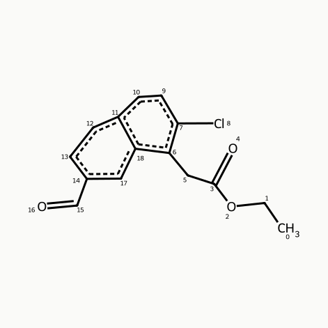 CCOC(=O)Cc1c(Cl)ccc2ccc(C=O)cc12